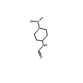 C[S+]([O-])N1CCC(NC=O)CC1